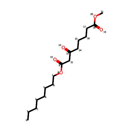 CCCCCCCCOC(=O)CC(=O)CCCCC(=O)OC